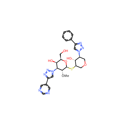 CO[C@@H]1[C@@H](n2cc(-c3cncnc3)nn2)[C@@H](O)[C@@H](CO)O[C@H]1S[C@@H]1COC[C@H](n2cc(-c3ccccc3)nn2)[C@H]1O